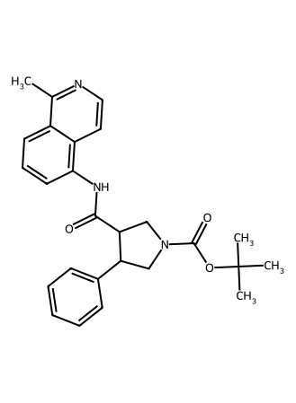 Cc1nccc2c(NC(=O)C3CN(C(=O)OC(C)(C)C)CC3c3ccccc3)cccc12